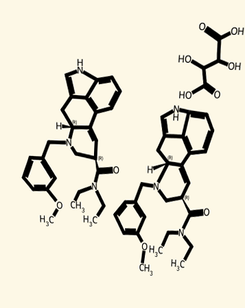 CCN(CC)C(=O)[C@@H]1C=C2c3cccc4[nH]cc(c34)C[C@H]2N(Cc2cccc(OC)c2)C1.CCN(CC)C(=O)[C@@H]1C=C2c3cccc4[nH]cc(c34)C[C@H]2N(Cc2cccc(OC)c2)C1.O=C(O)C(O)C(O)C(=O)O